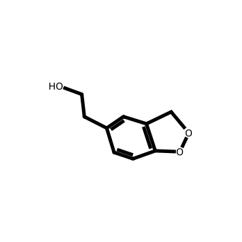 OCCc1ccc2c(c1)COO2